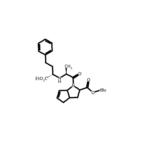 CCOC(=O)[C@H](CCc1ccccc1)N[C@@H](C)C(=O)N1C(C(=O)OC(C)(C)C)CC2CC=CC21